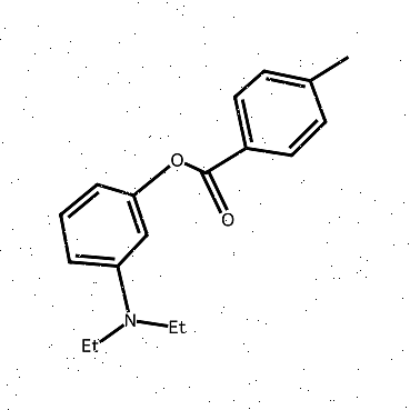 CCN(CC)c1cccc(OC(=O)c2ccc(C)cc2)c1